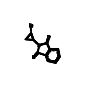 CC[C@H]1CC1N1C(=O)c2ccccc2C1=O